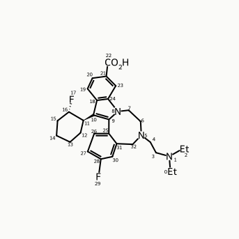 CCN(CC)CCN1CCn2c(c([C@H]3CCCC[C@@H]3F)c3ccc(C(=O)O)cc32)-c2ccc(F)cc2C1